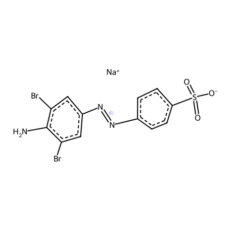 Nc1c(Br)cc(/N=N/c2ccc(S(=O)(=O)[O-])cc2)cc1Br.[Na+]